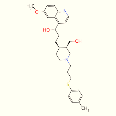 COc1ccc2nccc([C@@H](O)CC[C@@H]3CCN(CCCSc4ccc(C)cc4)C[C@@H]3CO)c2c1